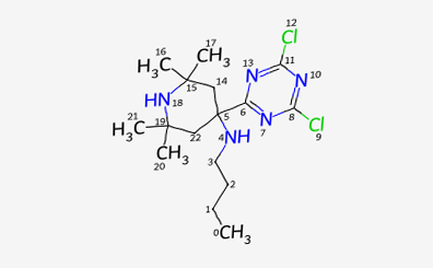 CCCCNC1(c2nc(Cl)nc(Cl)n2)CC(C)(C)NC(C)(C)C1